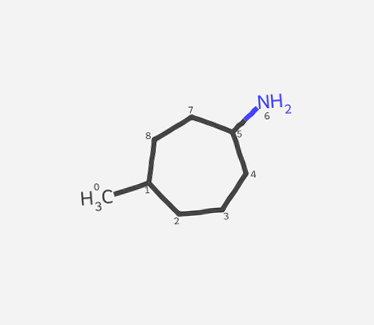 CC1CCCC(N)CC1